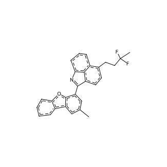 Cc1cc(C2=Nc3cccc4c(CCC(C)(F)F)ccc2c34)c2oc3ccccc3c2c1